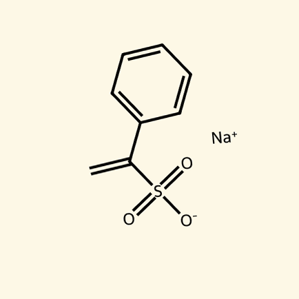 C=C(c1ccccc1)S(=O)(=O)[O-].[Na+]